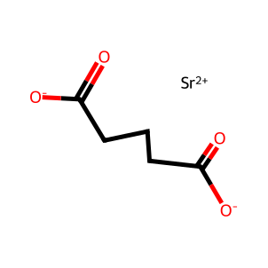 O=C([O-])CCCC(=O)[O-].[Sr+2]